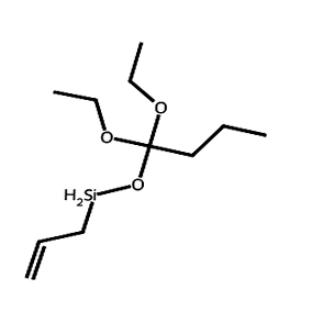 C=CC[SiH2]OC(CCC)(OCC)OCC